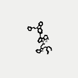 C=C/C=C(\C=C/C)Cc1sc2ccccc2c1/C=C(\C)n1c2c(c3c(-c4ccc5c(c4)C(CCc4ccccc4)c4ccccc4-5)cccc31)C=CC1C[C@@H]21